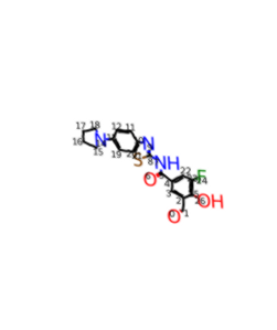 O=Cc1cc(C(=O)Nc2nc3ccc(N4CCCC4)cc3s2)cc(F)c1O